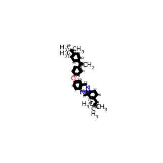 C=C(c1ccc(Oc2ccc3c(c2)CN2CN3Cc3cc(CC(C)(C)C)ccc32)cc1)c1ccc(C(C)(C)C)cc1